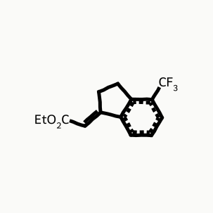 CCOC(=O)/C=C1\CCc2c1cccc2C(F)(F)F